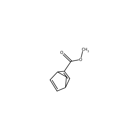 COC(=O)C1=CC2C=CC1C2